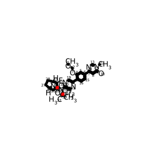 COCOc1cc(-c2cc(=O)n(C)cn2)ccc1-c1cnc(N(C)[C@@H]2C[C@H]3CC[C@@H]([C@@H]2F)N3C(=O)OC(C)(C)C)cn1